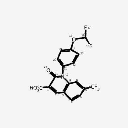 O=C(O)c1cc2ccc(C(F)(F)F)cc2n(-c2ccc(OC(F)F)cc2)c1=O